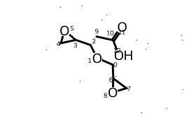 C(OCC1CO1)C1CO1.CC(=O)O